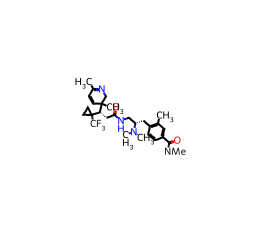 CNC(=O)c1ccc(C[C@@H](CNC(=O)C[C@@H](C2(C)C=CC(C)=NC2)C2(C(F)(F)F)CC2)N(C)C)c(C)c1